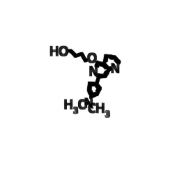 CN(C)c1ccc(-c2cc3ncccc3c(OCCCCO)n2)cc1